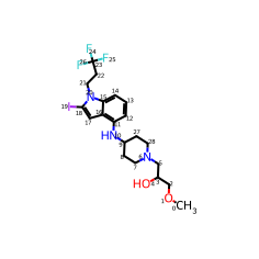 COCC(O)CN1CCC(Nc2cccc3c2cc(I)n3CCC(F)(F)F)CC1